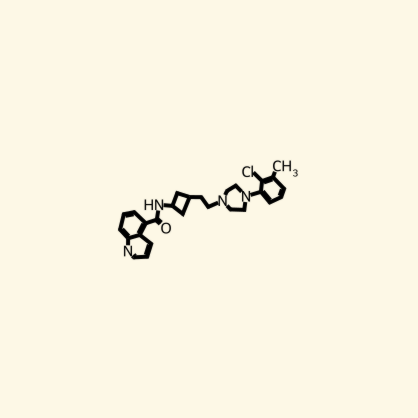 Cc1cccc(N2CCN(CCC3CC(NC(=O)c4cccc5ncccc45)C3)CC2)c1Cl